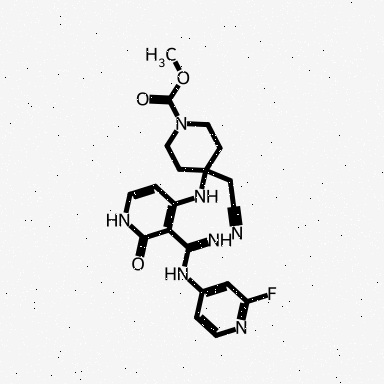 COC(=O)N1CCC(CC#N)(Nc2cc[nH]c(=O)c2C(=N)Nc2ccnc(F)c2)CC1